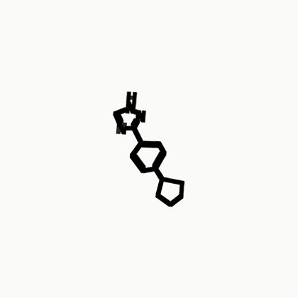 c1nc(-c2ccc(C3CCCC3)cc2)n[nH]1